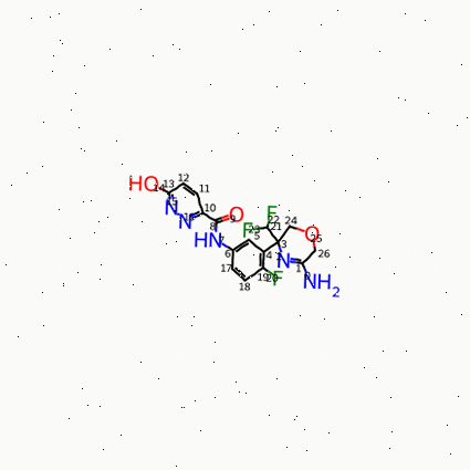 NC1=NC(c2cc(NC(=O)c3ccc(O)nn3)ccc2F)(C(F)F)COC1